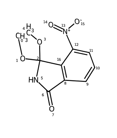 COC1(OC)NC(=O)c2cccc([N+](=O)[O-])c21